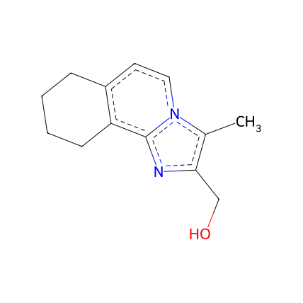 Cc1c(CO)nc2c3c(ccn12)CCCC3